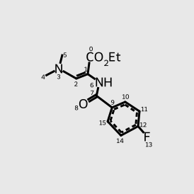 CCOC(=O)C(=CN(C)C)NC(=O)c1ccc(F)cc1